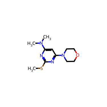 CSc1nc(N(C)C)cc(N2CCOCC2)n1